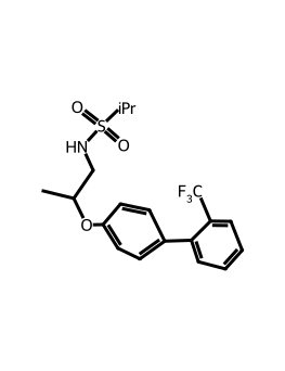 CC(CNS(=O)(=O)C(C)C)Oc1ccc(-c2ccccc2C(F)(F)F)cc1